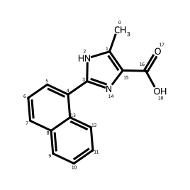 Cc1[nH]c(-c2cccc3ccccc23)nc1C(=O)O